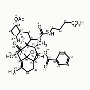 CC(=O)O[C@H]1CO[C@@H]1CC(OC(=O)NCCCC(=O)O)[C@@]1(C)C(=O)[C@H](O)C2=C(C)CC[C@@](O)([C@@H](OC(=O)c3ccccc3)[C@@H]1C)C2(C)C